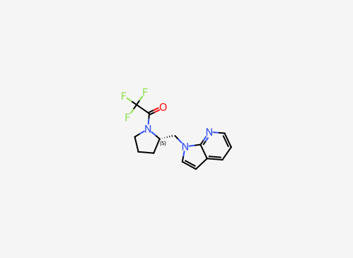 O=C(N1CCC[C@H]1Cn1ccc2cccnc21)C(F)(F)F